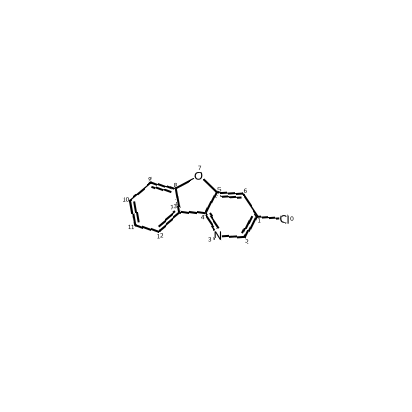 Clc1cnc2c(c1)oc1ccccc12